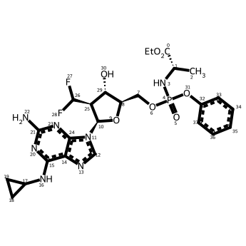 CCOC(=O)[C@H](C)NP(=O)(OC[C@H]1O[C@@H](n2cnc3c(NC4CC4)nc(N)nc32)[C@@H](C(F)F)[C@@H]1O)Oc1ccccc1